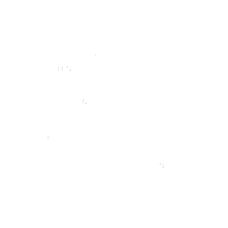 CCOC(=O)c1sc(-c2ccnc(Cl)c2)cc1NCC(C)N